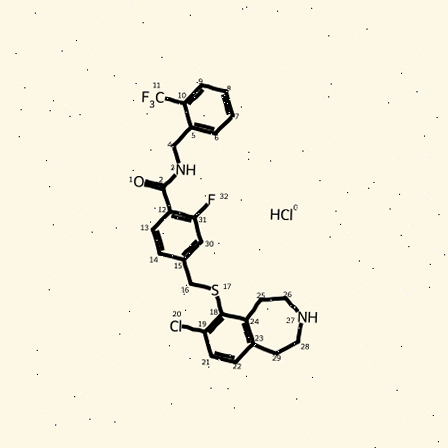 Cl.O=C(NCc1ccccc1C(F)(F)F)c1ccc(CSc2c(Cl)ccc3c2CCNCC3)cc1F